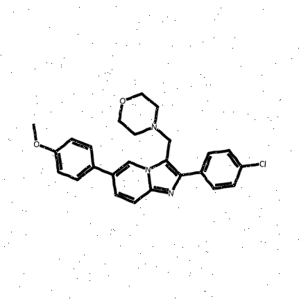 COc1ccc(-c2ccc3nc(-c4ccc(Cl)cc4)c(CN4CCOCC4)n3c2)cc1